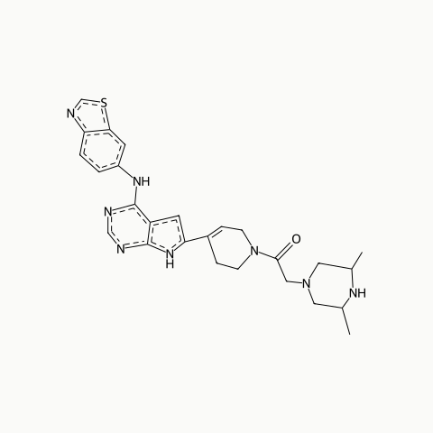 CC1CN(CC(=O)N2CC=C(c3cc4c(Nc5ccc6ncsc6c5)ncnc4[nH]3)CC2)CC(C)N1